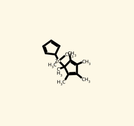 CC1=C(C)[C](C)([Zr]([CH3])([CH3])[CH]2C=CC=C2)C(C)=C1C